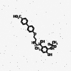 C[C@H](NCCOc1ccc(-c2ccc(C(=O)O)cc2)cc1)[C@@H](O)c1ccc(O)c(NS(C)(=O)=O)c1